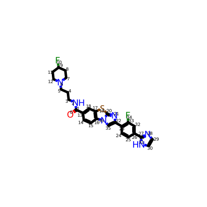 O=C(NCCCN1CCC(F)CC1)c1ccc2c(c1)sc1nc(-c3ccc(-c4ncc[nH]4)cc3F)cn12